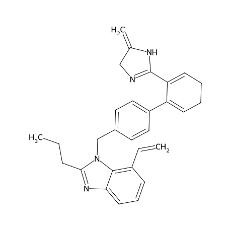 C=Cc1cccc2nc(CCC)n(Cc3ccc(C4=CCCC=C4C4=NCC(=C)N4)cc3)c12